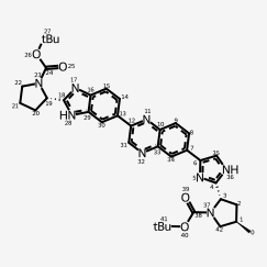 C[C@@H]1C[C@@H](c2nc(-c3ccc4nc(-c5ccc6nc([C@@H]7CCCN7C(=O)OC(C)(C)C)[nH]c6c5)cnc4c3)c[nH]2)N(C(=O)OC(C)(C)C)C1